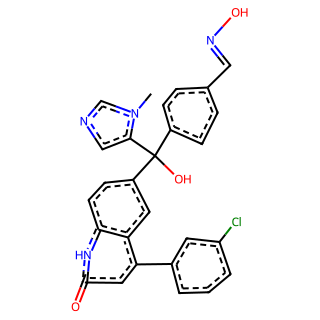 Cn1cncc1C(O)(c1ccc(/C=N/O)cc1)c1ccc2[nH]c(=O)cc(-c3cccc(Cl)c3)c2c1